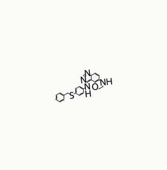 c1ccc(CSc2ccc(Nc3ncnc4ccc5c(c34)OCCN5)cc2)cc1